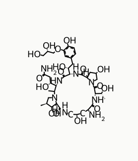 CC1[C@H]([C@H](O)CC(N)=O)NC(=O)[C@H]([C@H](O)Cc2ccc(O)c(OC[C@@H](O)CO)c2)NC(=O)[C@@H]2C[C@@H](O)CN2C(=O)[C@H]([C@@H](C)O)NC(=O)[C@@H](N)C[C@@H](O)CNC(=O)[C@@H]2[C@@H](O)[C@@H](C)CN12